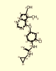 Cc1c(O)cn2ncnc(Oc3ccc(NC(=S)NC4CC4)c(Cl)c3)c12